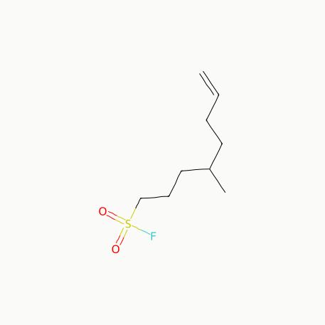 C=CCCC(C)CCCS(=O)(=O)F